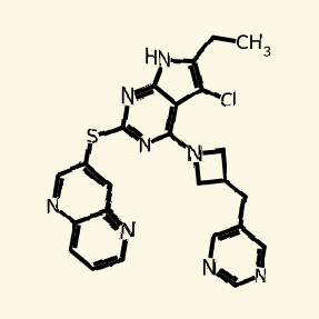 CCc1[nH]c2nc(Sc3cnc4cccnc4c3)nc(N3CC(Cc4cncnc4)C3)c2c1Cl